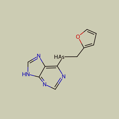 c1coc(C[AsH]c2ncnc3[nH]cnc23)c1